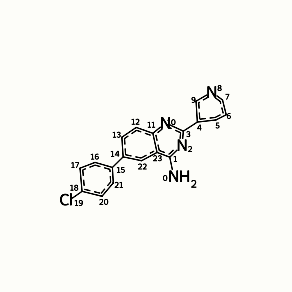 Nc1nc(-c2cccnc2)nc2ccc(-c3ccc(Cl)cc3)cc12